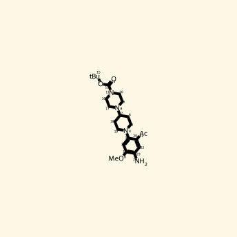 COc1cc(N2CCC(N3CCN(C(=O)OC(C)(C)C)CC3)CC2)c(C(C)=O)cc1N